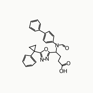 O=CN(c1ccc(-c2ccccc2)cc1)C(CCC(=O)O)c1nnc(C2(c3ccccc3)CC2)o1